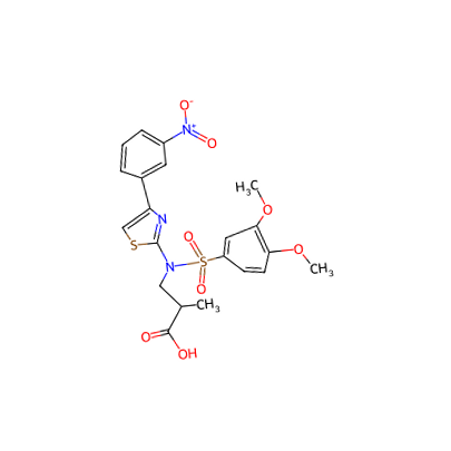 COc1ccc(S(=O)(=O)N(CC(C)C(=O)O)c2nc(-c3cccc([N+](=O)[O-])c3)cs2)cc1OC